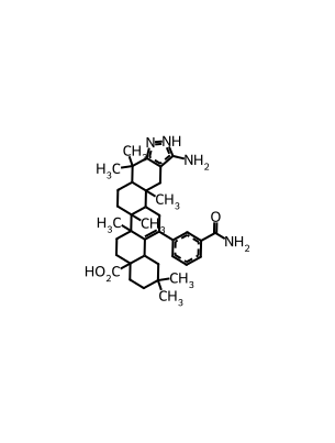 CC1(C)CCC2(C(=O)O)CCC3(C)C(=C(c4cccc(C(N)=O)c4)CC4C5(C)Cc6c(n[nH]c6N)C(C)(C)C5CCC43C)C2C1